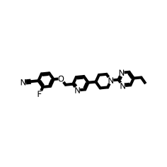 CCc1cnc(N2CCC(c3ccc(COc4ccc(C#N)c(F)c4)nc3)CC2)nc1